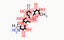 CC1OC(OC2C(CO)OC(OC3C(CO)OC(OC4C(CO)OC(C)C(O)C4O)C(O)C3O)C(O)C2O)C(O)C(O)C1N